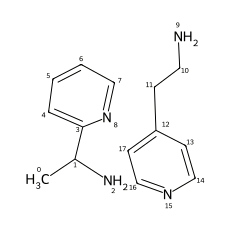 CC(N)c1ccccn1.NCCc1ccncc1